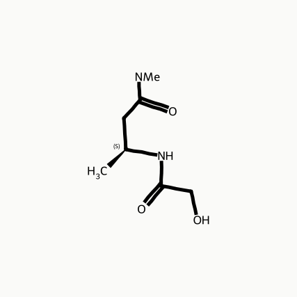 CNC(=O)C[C@H](C)NC(=O)CO